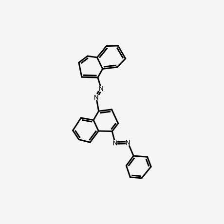 c1ccc(/N=N/c2ccc(/N=N/c3cccc4ccccc34)c3ccccc23)cc1